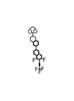 Fc1cc2cc(-c3ccc4c(c3)CCC(C3OCCCO3)C4)ccc2c(F)c1C#CC(F)(F)F